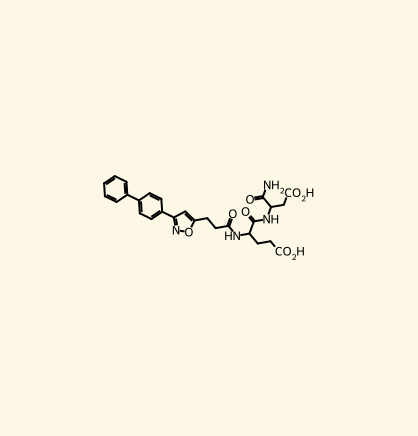 NC(=O)C(CC(=O)O)NC(=O)C(CCC(=O)O)NC(=O)CCc1cc(-c2ccc(-c3ccccc3)cc2)no1